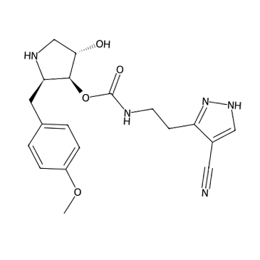 COc1ccc(C[C@H]2NC[C@H](O)[C@H]2OC(=O)NCCc2n[nH]cc2C#N)cc1